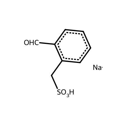 O=Cc1ccccc1CS(=O)(=O)O.[Na]